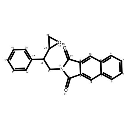 O=C1c2cc3ccccc3cc2C(=O)N1CC(c1ccccc1)C1CO1